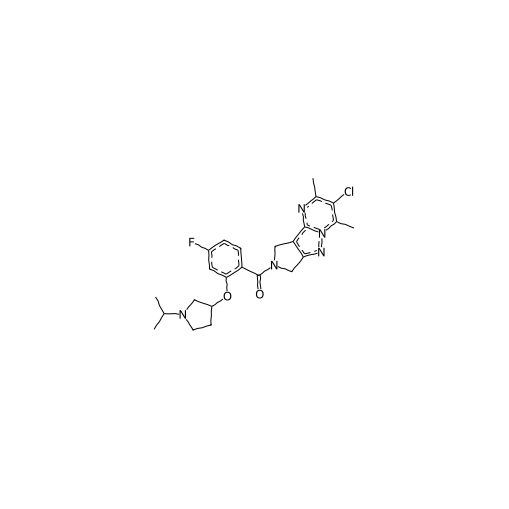 Cc1nc2c3c(nn2c(C)c1Cl)CN(C(=O)c1ccc(F)cc1OC1CCN(C(C)C)C1)C3